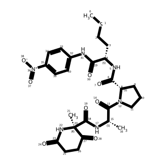 CSCC[C@H](NC(=O)[C@@H]1CCCN1C(=O)[C@H](C)NC(=O)[C@]1(C)NC(=O)CCC1=O)C(=O)Nc1ccc([N+](=O)[O-])cc1